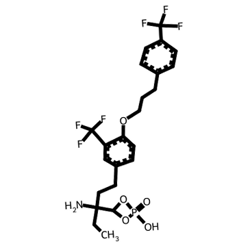 CCC(N)(CCc1ccc(OCCCc2ccc(C(F)(F)F)cc2)c(C(F)(F)F)c1)C1OP(=O)(O)O1